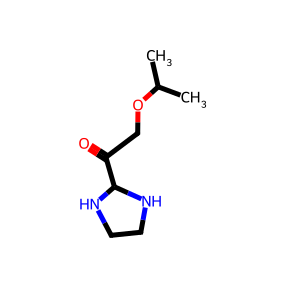 CC(C)OCC(=O)C1NCCN1